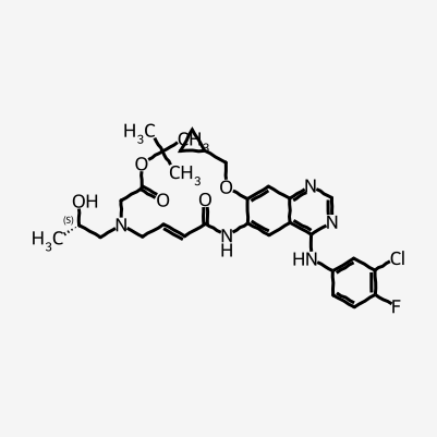 C[C@H](O)CN(CC=CC(=O)Nc1cc2c(Nc3ccc(F)c(Cl)c3)ncnc2cc1OCC1CC1)CC(=O)OC(C)(C)C